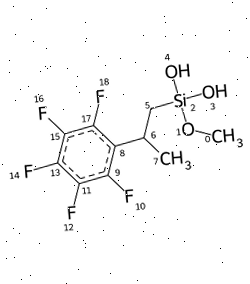 CO[Si](O)(O)CC(C)c1c(F)c(F)c(F)c(F)c1F